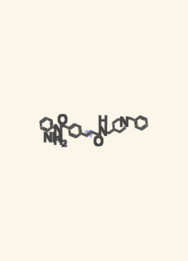 Nc1ccccc1NC(=O)c1ccc(/C=C/C(=O)NCC2CCN(Cc3ccccc3)CC2)cc1